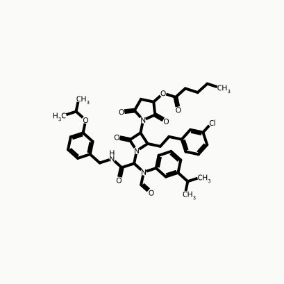 CCCCC(=O)OC1CC(=O)N(C2C(=O)N(C(C(=O)NCc3cccc(OC(C)C)c3)N(C=O)c3cccc(C(C)C)c3)C2CCc2cccc(Cl)c2)C1=O